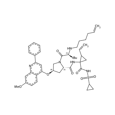 C=CCCCCN[C@H](C(=O)N1C[C@H](Oc2cc(-c3ccccc3)nc3cc(OC)ccc23)C[C@H]1C(=O)NC1(C(=O)NS(=O)(=O)C2CC2)CC1C=C)C(C)(C)C